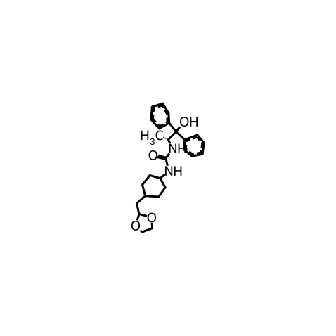 C[C@@H](NC(=O)NC1CCC(CC2OCCO2)CC1)C(O)(c1ccccc1)c1ccccc1